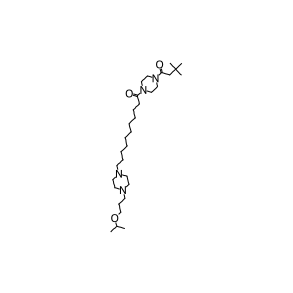 CC(C)OCCCN1CCN(CCCCCCCCCCC(=O)N2CCN(C(=O)CC(C)(C)C)CC2)CC1